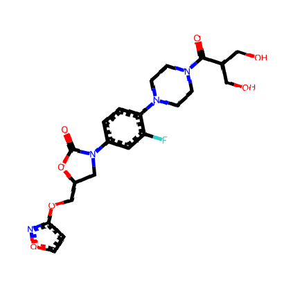 O=C(C(CO)CO)N1CCN(c2ccc(N3CC(COc4ccon4)OC3=O)cc2F)CC1